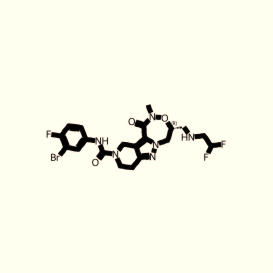 CN1O[C@H](CNCC(F)F)Cn2nc3c(c2C1=O)CN(C(=O)Nc1ccc(F)c(Br)c1)CC3